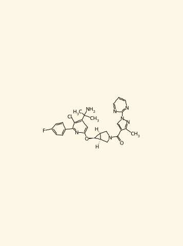 Cc1nn(-c2ncccn2)cc1C(=O)N1C[C@@H]2[C@H](C1)[C@@H]2Oc1cc(C(C)(C)N)c(Cl)c(-c2ccc(F)cc2)n1